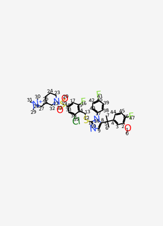 COc1cc(C(C)(C)c2cnc(SCc3c(F)cc(S(=O)(=O)N4CCCC(C[N+](C)(C)C)C4)cc3Cl)n2-c2ccc(F)cc2)ccc1F